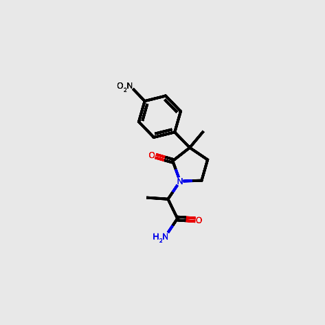 CC(C(N)=O)N1CCC(C)(c2ccc([N+](=O)[O-])cc2)C1=O